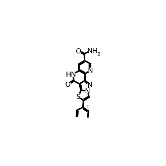 C=C/C(=C\C)c1cn2nc3c4ncc(C(N)=O)cc4[nH]c(=O)c3c2s1